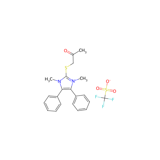 CC(=O)CSc1n(C)c(-c2ccccc2)c(-c2ccccc2)[n+]1C.O=S(=O)([O-])C(F)(F)F